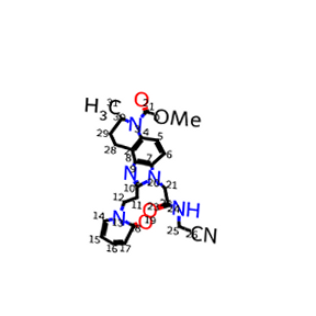 COC(=O)N1c2ccc3c(nc(CCn4ccccc4=O)n3CC(=O)NCC#N)c2CC[C@@H]1C